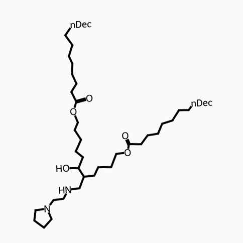 CCCCCCCCCCCCCCCCCC(=O)OCCCCCC(O)C(CCCCOC(=O)CCCCCCCCCCCCCCCCC)CNCCN1CCCC1